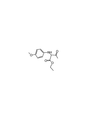 CCOC(=O)C(Nc1ccc(OC)cc1)C(C)=O